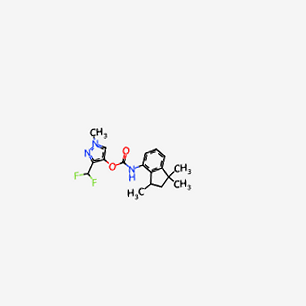 CC1CC(C)(C)c2cccc(NC(=O)Oc3cn(C)nc3C(F)F)c21